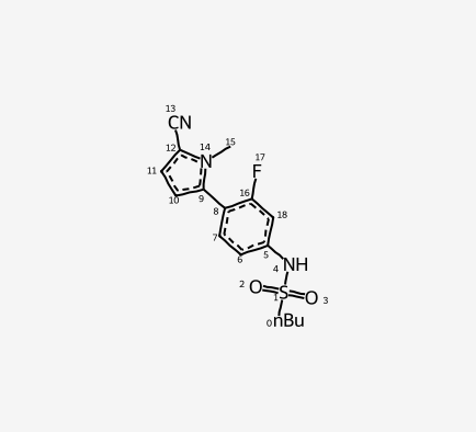 CCCCS(=O)(=O)Nc1ccc(-c2ccc(C#N)n2C)c(F)c1